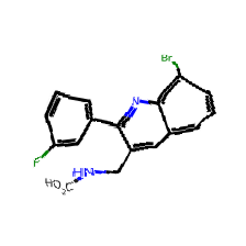 O=C(O)NCc1cc2cccc(Br)c2nc1-c1cccc(F)c1